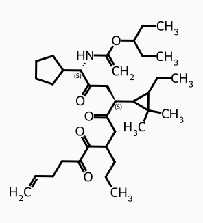 C=CCCC(=O)C(=O)C(CCC)CC(=O)[C@@H](CC(=O)[C@@H](NC(=C)OC(CC)CC)C1CCCC1)C1C(CC)C1(C)C